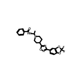 CC(NC(=O)c1ccccc1)N1CCC(c2nc(-c3ccc4c(c3)OC(F)(F)O4)no2)CC1